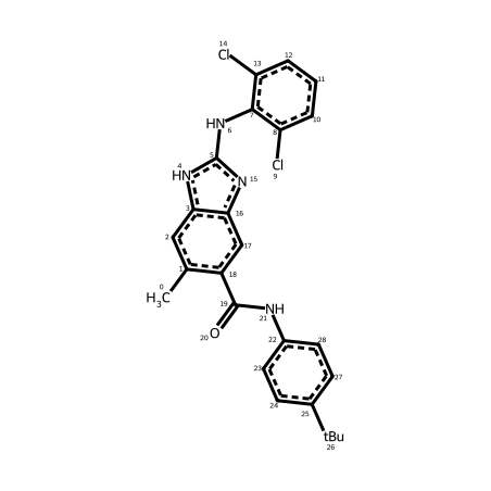 Cc1cc2[nH]c(Nc3c(Cl)cccc3Cl)nc2cc1C(=O)Nc1ccc(C(C)(C)C)cc1